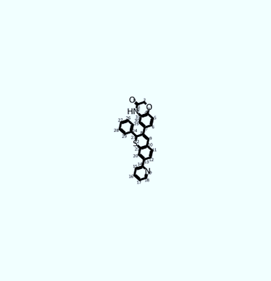 O=C1COc2ccc(C3=Cc4ccc(-c5ccccn5)cc4SC3c3ccccc3)cc2N1